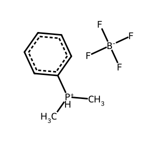 C[PH+](C)c1ccccc1.F[B-](F)(F)F